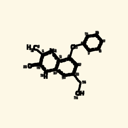 Cc1nc2c(Oc3ccccc3)cc(CO)cc2[nH]c1=O